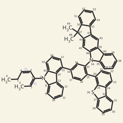 C/C=C(\C=C/CC)n1c2ccccc2c2c(-c3ccc(-c4cccc5c4sc4ccccc45)c(-n4c5ccccc5c5cc6c(cc54)C(C)(C)c4ccccc4-6)c3)cccc21